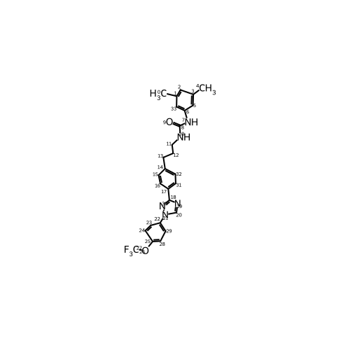 Cc1cc(C)cc(NC(=O)NCCCc2ccc(-c3ncn(-c4ccc(OC(F)(F)F)cc4)n3)cc2)c1